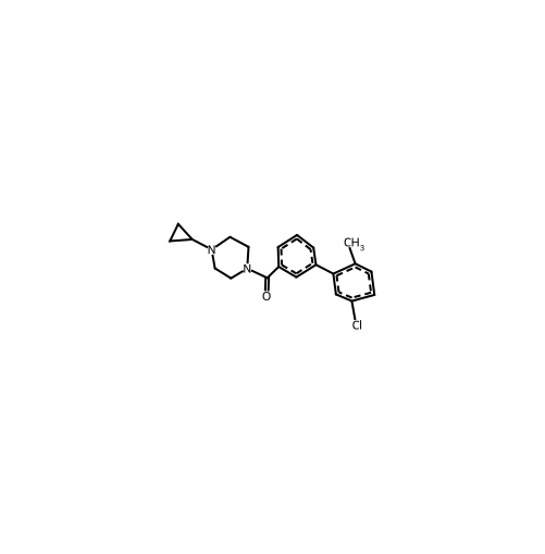 Cc1ccc(Cl)cc1-c1cccc(C(=O)N2CCN(C3CC3)CC2)c1